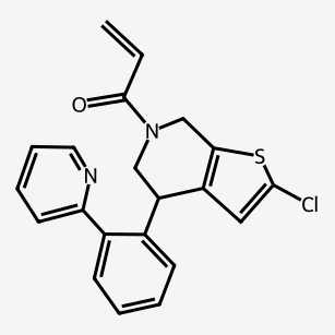 C=CC(=O)N1Cc2sc(Cl)cc2C(c2ccccc2-c2ccccn2)C1